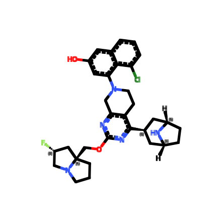 Oc1cc(N2CCc3c(nc(OC[C@@]45CCCN4C[C@H](F)C5)nc3[C@@H]3C[C@H]4CC[C@@H](C3)N4)C2)c2c(Cl)cccc2c1